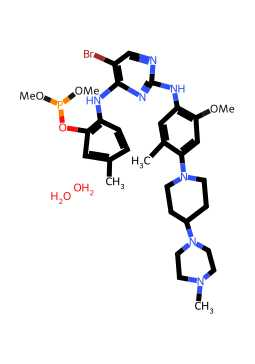 COc1cc(N2CCC(N3CCN(C)CC3)CC2)c(C)cc1Nc1ncc(Br)c(Nc2ccc(C)cc2OP(OC)OC)n1.O.O